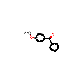 CC(=O)OOc1ccc(C(=O)c2ccccc2)cc1